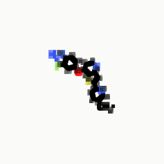 [CH2]c1ccc(-c2cc3nccc(Oc4ccc(N)c(F)c4)c3s2)nc1